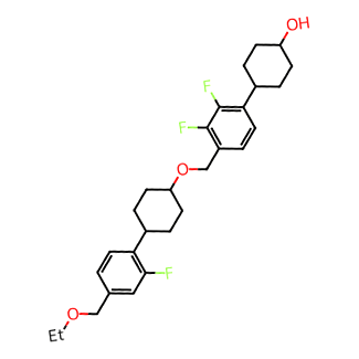 CCOCc1ccc(C2CCC(OCc3ccc(C4CCC(O)CC4)c(F)c3F)CC2)c(F)c1